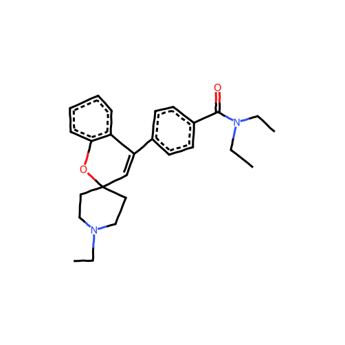 CCN1CCC2(C=C(c3ccc(C(=O)N(CC)CC)cc3)c3ccccc3O2)CC1